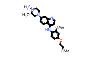 COCCOc1ccc(Nc2ccnc3cc(N4CCN(C)[C@@H](C)C4)ccc23)c(OC)c1